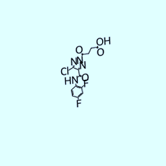 O=C(O)CCC(=O)n1nc(Cl)c(C(=O)Nc2ccc(F)cc2F)n1